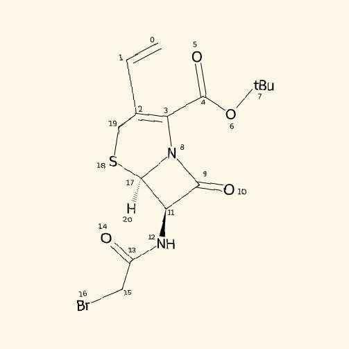 C=CC1=C(C(=O)OC(C)(C)C)N2C(=O)[C@@H](NC(=O)CBr)[C@H]2SC1